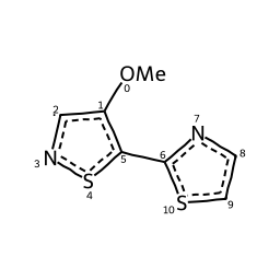 COc1[c]nsc1-c1nccs1